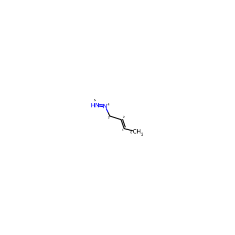 C/C=C/CN=N